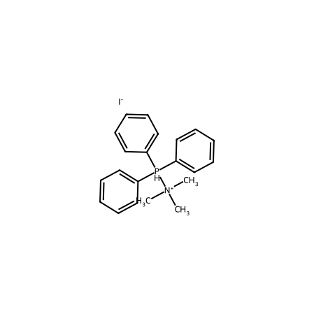 C[N+](C)(C)[PH](c1ccccc1)(c1ccccc1)c1ccccc1.[I-]